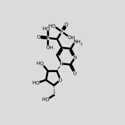 Nc1nc(=O)n([C@@H]2O[C@H](CO)C(O)C2O)cc1C(P(=O)(O)O)P(=O)(O)O